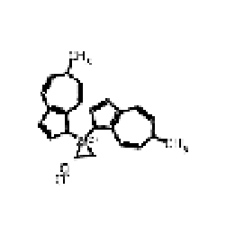 CC1C=CC2=C(C=C1)[CH]([Zr+2]1([CH]3C=CC4=C3C=CC(C)C=C4)[CH2][CH2]1)C=C2.[Cl-].[Cl-]